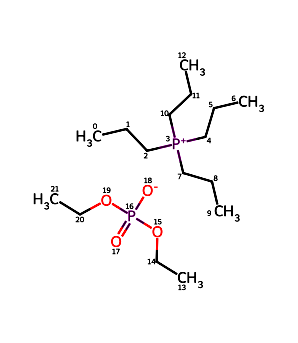 CCC[P+](CCC)(CCC)CCC.CCOP(=O)([O-])OCC